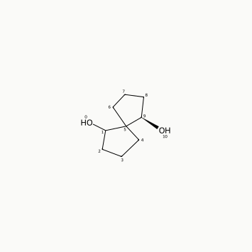 OC1CCCC12CCC[C@H]2O